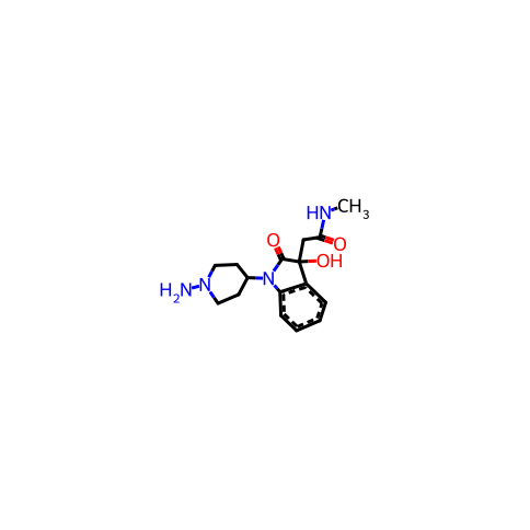 CNC(=O)CC1(O)C(=O)N(C2CCN(N)CC2)c2ccccc21